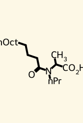 CCCCCCCCCCCC(=O)N(CCC)C(C)C(=O)O